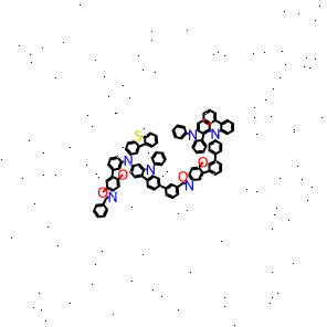 c1ccc(-c2nc3cc4oc5c(N(c6ccc7sc8ccccc8c7c6)c6ccc7c8ccc(-c9cccc(-c%10nc%11cc%12c(cc%11o%10)oc%10c(-c%11ccc(N(c%13ccccc%13-c%13ccccc%13)c%13cccc%14c%13c%13ccccc%13n%14-c%13ccccc%13)cc%11)cccc%10%12)c9)cc8n(-c8ccccc8)c7c6)cccc5c4cc3o2)cc1